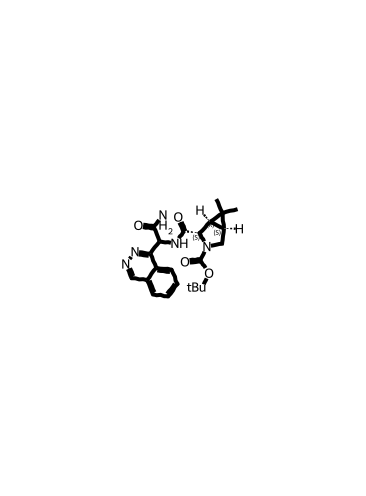 CC(C)(C)OC(=O)N1C[C@H]2[C@@H]([C@H]1C(=O)NC(C(N)=O)c1nncc3ccccc13)C2(C)C